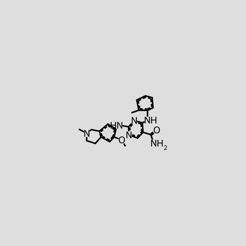 COc1cc2c(cc1Nc1ncc(C(N)=O)c(Nc3ccccc3C)n1)CN(C)CC2